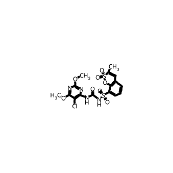 COc1nc(NC(=O)NS(=O)(=O)c2cccc3c2OS(=O)(=O)C(C)=C3)c(Cl)c(OC)n1